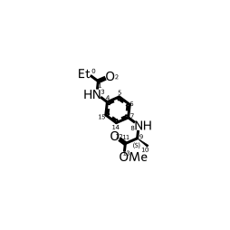 CCC(=O)Nc1ccc(N[C@@H](C)C(=O)OC)cc1